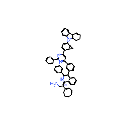 NC/C(C1=CC=CCCC1)=C1\NC(c2ccccc2)=C(c2cccc(-c3cc(C4=CC=C(n5c6c(c7ccccc75)C=CCC6)C5CC45)nc(-c4ccccc4)n3)c2)c2ccccc21